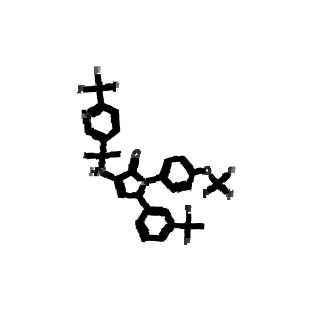 CC(F)(F)c1cccc(C2C=C(NC(C)(C)c3ccc(C(F)(F)F)nc3)C(=O)N2c2ccc(OC(F)(F)F)cc2)c1